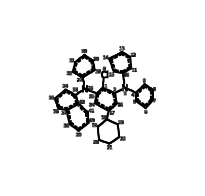 Clc1c(N(c2ccccc2)c2ccccc2)cc(C2CCCCC2)cc1N(c1ccccc1)c1cccc2ccccc12